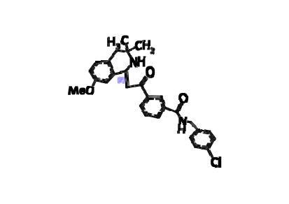 COc1ccc2c(c1)/C(=C/C(=O)c1cccc(C(=O)NCc3ccc(Cl)cc3)c1)NC(C)(C)C2